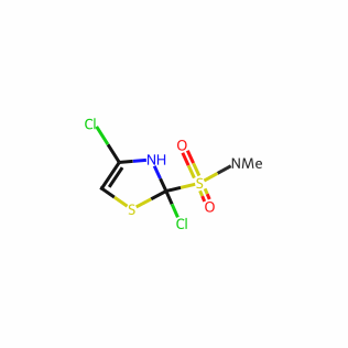 CNS(=O)(=O)C1(Cl)NC(Cl)=CS1